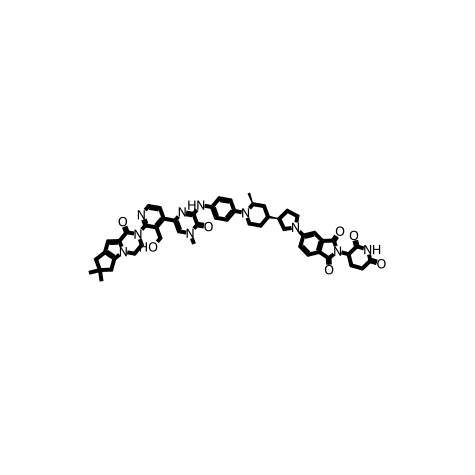 C[C@H]1CC([C@H]2CCN(c3ccc4c(c3)C(=O)N(C3CCC(=O)NC3=O)C4=O)C2)CCN1c1ccc(Nc2nc(-c3ccnc(N4CCn5c(cc6c5CC(C)(C)C6)C4=O)c3CO)cn(C)c2=O)cc1